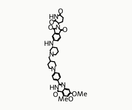 COc1cc(OC)c2c(=O)[nH]c(-c3ccc(N4CCC(CN5CCC[C@@H](Nc6ccc7c(c6)C(=O)N(C6CCC(=O)NC6=O)C7=O)C5)CC4)cc3)nc2c1